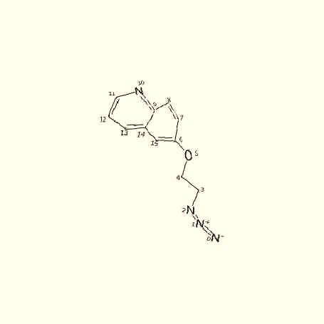 [N-]=[N+]=NCCOc1ccc2ncccc2c1